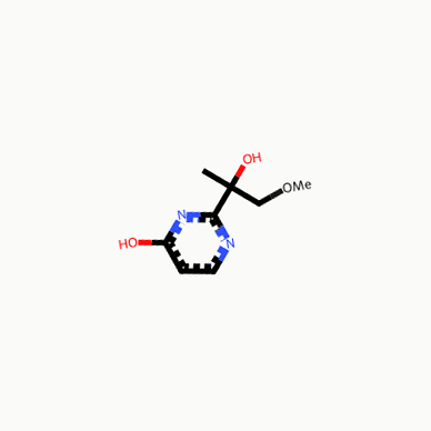 COCC(C)(O)c1nccc(O)n1